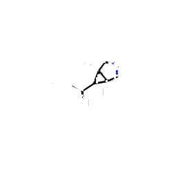 CCOC(=O)[C@H](C)C1[C@H]2CNC[C@@H]12